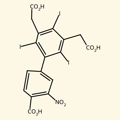 O=C(O)Cc1c(I)c(CC(=O)O)c(I)c(-c2ccc(C(=O)O)c([N+](=O)[O-])c2)c1I